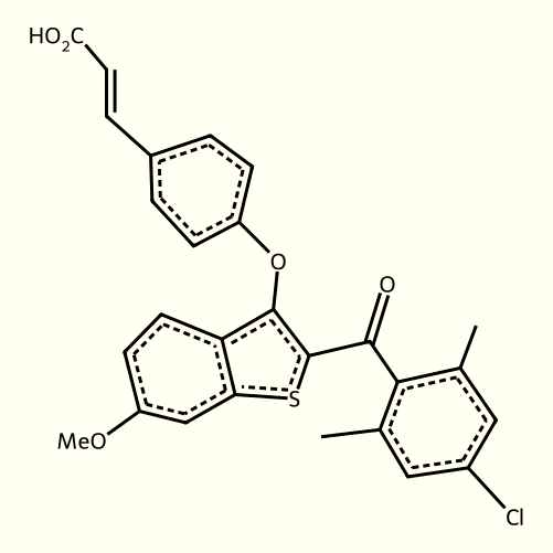 COc1ccc2c(Oc3ccc(/C=C/C(=O)O)cc3)c(C(=O)c3c(C)cc(Cl)cc3C)sc2c1